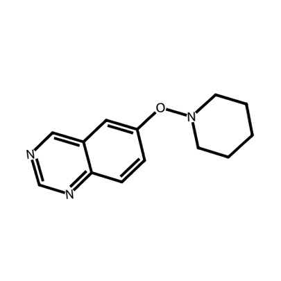 c1ncc2cc(ON3CCCCC3)ccc2n1